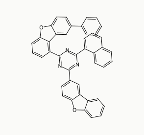 c1ccc(-c2ccc3oc4cccc(-c5nc(-c6ccc7oc8ccccc8c7c6)nc(-c6cccc7ccccc67)n5)c4c3c2)cc1